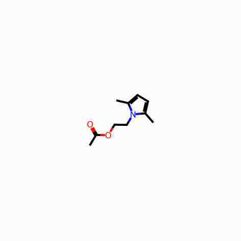 CC(=O)OCCn1c(C)ccc1C